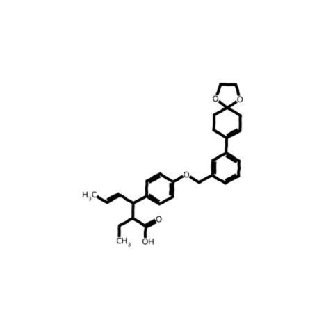 CC=CC(c1ccc(OCc2cccc(C3=CCC4(CC3)OCCO4)c2)cc1)C(CC)C(=O)O